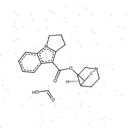 O=C(O[C@H]1CN2CCC1CC2)c1c2n(c3ccccc13)CCC2.O=CO